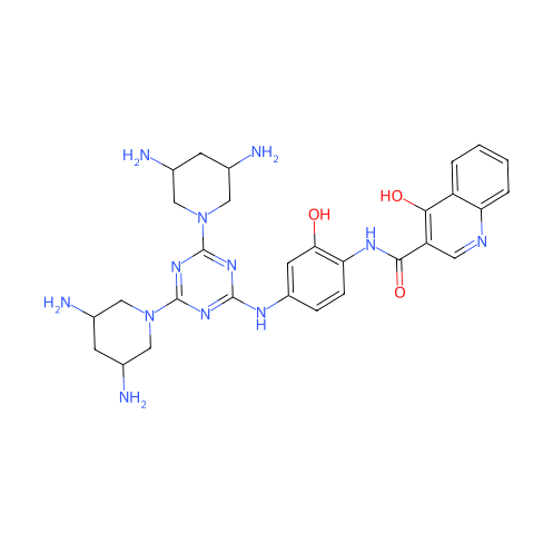 NC1CC(N)CN(c2nc(Nc3ccc(NC(=O)c4cnc5ccccc5c4O)c(O)c3)nc(N3CC(N)CC(N)C3)n2)C1